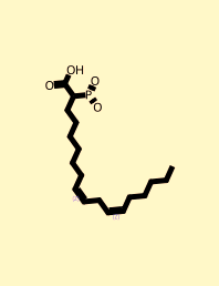 CCCCC/C=C\C/C=C\CCCCCCC(C(=O)O)P(=O)=O